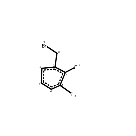 Fc1c(I)cccc1CBr